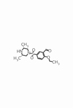 CCOc1ccc(S(=O)(=O)N2C[C@@H](C)N[C@@H](C)C2)cc1[C]=O